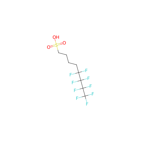 O=S(=O)(O)CCCCC(F)(F)C(F)(F)C(F)(F)C(F)(F)F